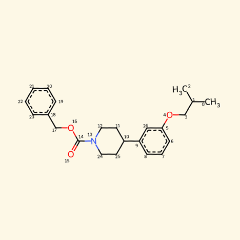 CC(C)COc1cccc(C2CCN(C(=O)OCc3ccccc3)CC2)c1